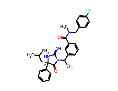 CC(C)C[C@]1(c2ccccc2)NC(=N)N(C(C)c2cccc(C(=O)N(C)Cc3ccc(F)cc3)c2)C1=O